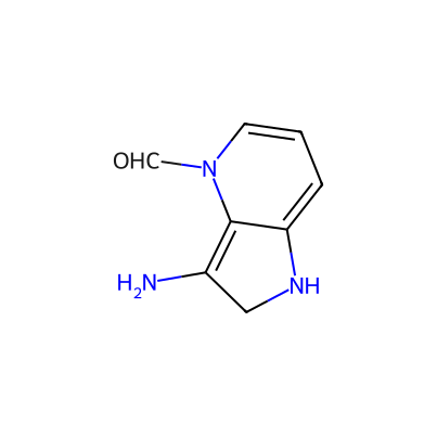 NC1=C2C(=CC=CN2C=O)NC1